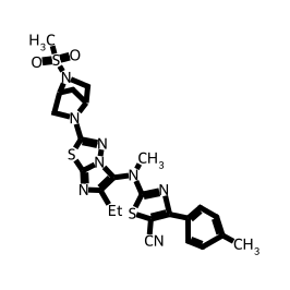 CCc1nc2sc(N3CC4CC3CN4S(C)(=O)=O)nn2c1N(C)c1nc(-c2ccc(C)cc2)c(C#N)s1